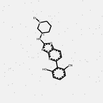 CCN1CCC[C@@H](Nc2nc3nc(-c4c(O)cccc4C#N)ccc3o2)C1